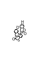 COc1ccc(CN2C(=O)CSc3ccc(N4CC5CCNCC5OC4=O)nc32)cc1